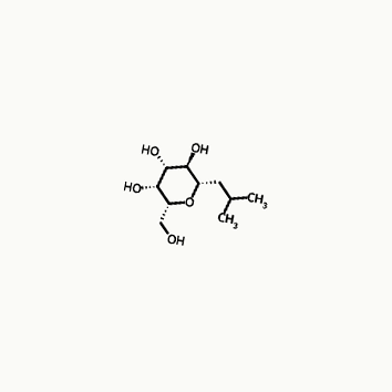 CC(C)C[C@@H]1O[C@H](CO)[C@H](O)[C@H](O)[C@H]1O